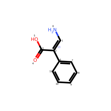 N/C=C(\C(=O)O)c1ccccc1